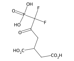 O=C(O)CC(CC(=O)C(F)(F)P(=O)(O)O)C(=O)O